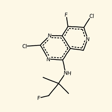 CC(C)(CF)Nc1nc(Cl)nc2c(F)c(Cl)ncc12